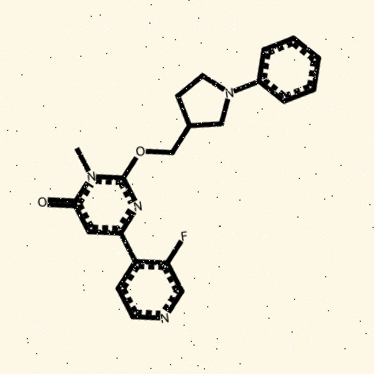 Cn1c(OCC2CCN(c3ccccc3)C2)nc(-c2ccncc2F)cc1=O